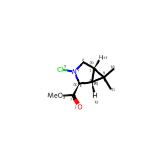 COC(=O)[C@@H]1[C@@H]2[C@H](CN1Cl)C2(C)C